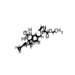 CCOC(=O)c1nccn1Cc1cc2c(cc1F)[C@@](C#CC1CC1)(C(F)(F)F)NC(=O)N2